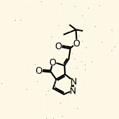 CC(C)(C)OC(=O)/C=C1\OC(=O)c2ccnnc21